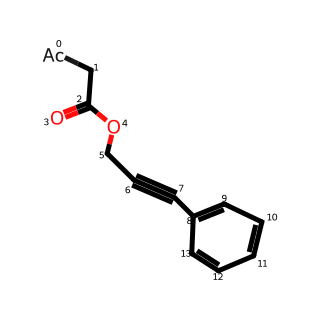 CC(=O)CC(=O)OCC#Cc1ccccc1